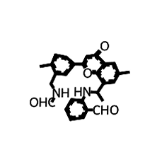 Cc1cc(C(C)Nc2ccccc2C=O)c2oc(-c3ccc(C)c(CNC=O)c3)cc(=O)c2c1